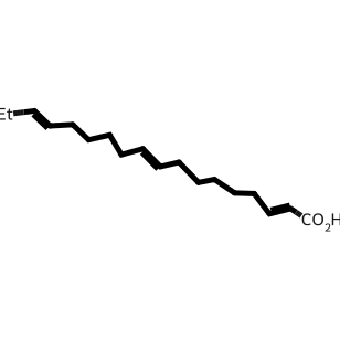 CCC=CCCCCC=CCCCCCC=CC(=O)O